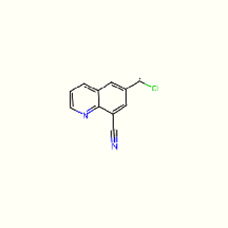 N#Cc1cc([CH]Cl)cc2cccnc12